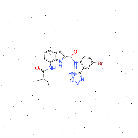 CCC(C)C(=O)Nc1cccc2cc(C(=O)Nc3ccc(Br)cc3-c3nnn[nH]3)[nH]c12